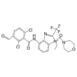 CC[N+]1(C(=O)N2CCOCC2)C(C(F)(F)F)=Nc2c(NC(=O)c3c(Cl)ccc(C=O)c3Cl)cccc21